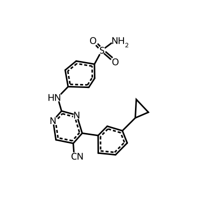 N#Cc1cnc(Nc2ccc(S(N)(=O)=O)cc2)nc1-c1cccc(C2CC2)c1